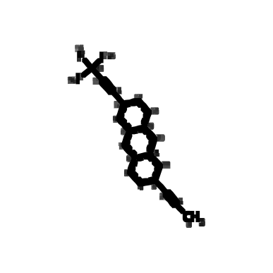 CC#Cc1ccc2cc3cc(C#CC(F)(F)F)ccc3cc2c1